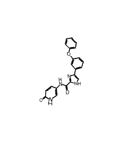 O=C(Nc1ccc(=O)[nH]c1)c1nc(-c2cccc(Oc3ccccc3)c2)c[nH]1